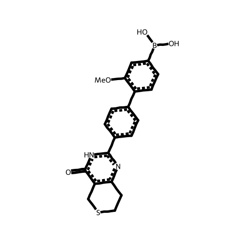 COc1cc(B(O)O)ccc1-c1ccc(-c2nc3c(c(=O)[nH]2)CSCC3)cc1